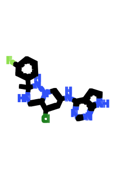 CC1(c2cccc(F)c2)NC=C2C(Cl)=CC(Nc3ncnc4[nH]ccc34)=CN2N1